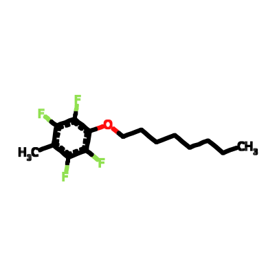 CCCCCCCCOc1c(F)c(F)c(C)c(F)c1F